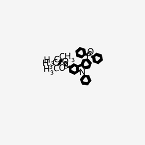 CC1(C)OB(c2ccc3c(c2)c2cc(P(=O)(c4ccccc4)c4ccccc4)ccc2n3-c2ccccc2)OC1(C)C